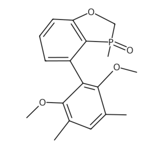 COc1c(C)cc(C)c(OC)c1-c1cccc2c1P(C)(=O)CO2